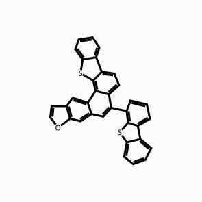 c1ccc2c(c1)sc1c(-c3cc4cc5occc5cc4c4c3ccc3c5ccccc5sc34)cccc12